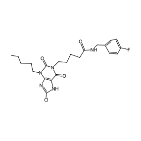 CCCCCn1c(=O)n(CCCCC(=O)NCc2ccc(F)cc2)c(=O)c2[nH]c(Cl)nc21